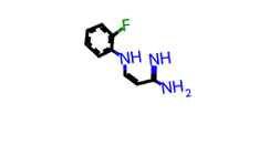 N=C(N)/C=C\Nc1ccccc1F